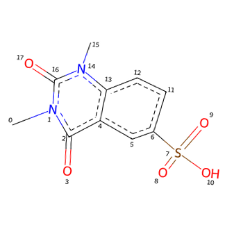 Cn1c(=O)c2cc(S(=O)(=O)O)ccc2n(C)c1=O